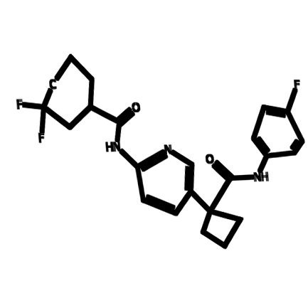 O=C(Nc1ccc(C2(C(=O)Nc3ccc(F)cc3)CCC2)cn1)C1CCCC(F)(F)C1